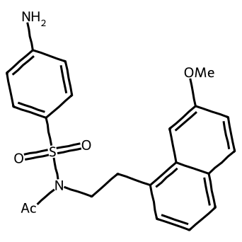 COc1ccc2cccc(CCN(C(C)=O)S(=O)(=O)c3ccc(N)cc3)c2c1